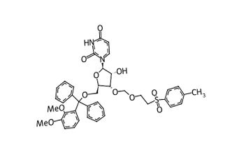 COc1cccc(C(OC[C@H]2O[C@@H](n3ccc(=O)[nH]c3=O)[C@H](O)[C@@H]2OCOCCS(=O)(=O)c2ccc(C)cc2)(c2ccccc2)c2ccccc2)c1OC